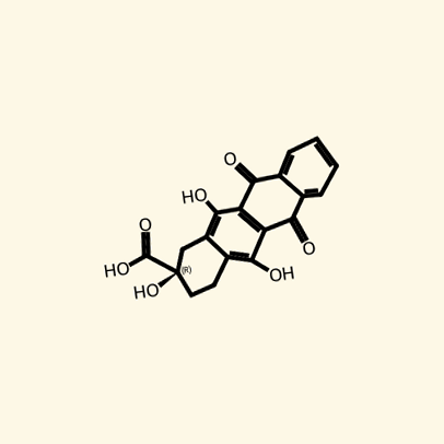 O=C1c2ccccc2C(=O)c2c(O)c3c(c(O)c21)CC[C@](O)(C(=O)O)C3